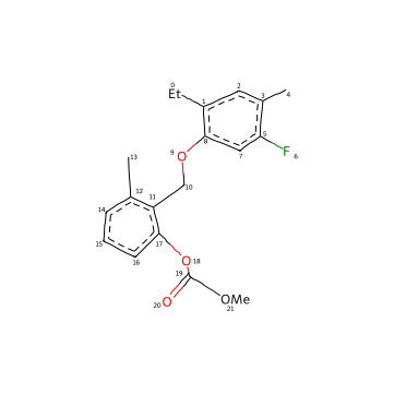 CCc1cc(C)c(F)cc1OCc1c(C)cccc1OC(=O)OC